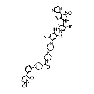 CCc1cc(Nc2ncc(Br)c(Nc3ccc4nccnc4c3P(C)(C)=O)n2)c(OC)cc1N1CCC(N2CCN(C(=O)C3CCN(c4cccc(C5CCC(=O)NC5=O)c4)CC3)CC2)CC1